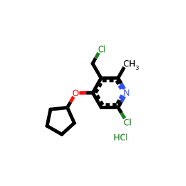 Cc1nc(Cl)cc(OC2CCCC2)c1CCl.Cl